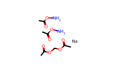 CC(=O)OCOC(C)=O.CC(=O)ON.CC(=O)ON.[Na]